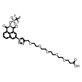 O=C(O)CCOCCOCCOCCOCCOCc1cn(-c2cc3c4c(cccc4c2)C(=O)N(OS(=O)(=O)C(F)(F)F)C3=O)nn1